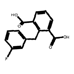 O=C(O)c1cccc(C(=O)O)c1Cc1cccc(F)c1